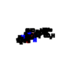 CNC(Cc1ccc(NC(=O)CNC(=O)C(Cc2ccccc2)NC(=O)CNC=O)cc1)CC(C)(C)C(=O)O